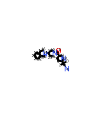 CC(C)(C#N)c1ccc(C(=O)N2CCC(N3CCc4ccccc4C3)CC2)cn1